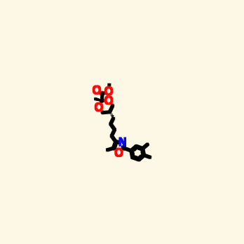 COC(=O)[C@]1(C)OC[C@H](CCCCc2nc(-c3ccc(C)c(C)c3)oc2C)CO1